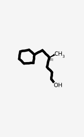 C[C@@H](CCCO)CC1CCCCC1